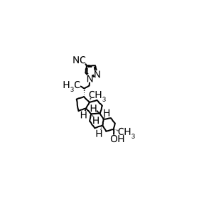 CC(Cn1cc(C#N)cn1)[C@H]1CC[C@H]2[C@@H]3CC[C@@H]4C[C@](C)(O)CC[C@@H]4[C@H]3CC[C@]12C